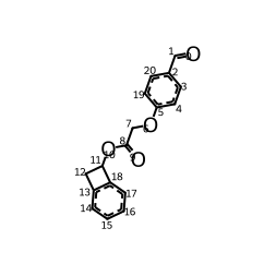 O=Cc1ccc(OCC(=O)OC2Cc3ccccc32)cc1